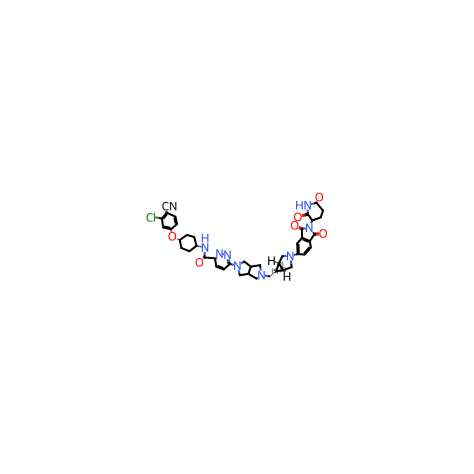 N#Cc1ccc(O[C@H]2CC[C@H](NC(=O)c3ccc(N4CC5CN(C[C@@H]6[C@H]7CN(c8ccc9c(c8)C(=O)N(C8CCC(=O)NC8=O)C9=O)C[C@@H]67)CC5C4)nn3)CC2)cc1Cl